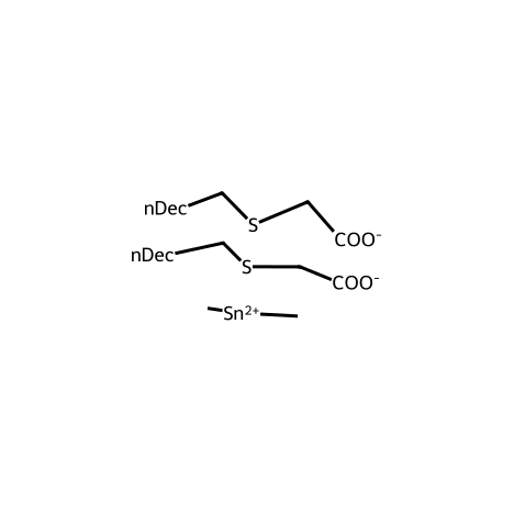 CCCCCCCCCCCSCC(=O)[O-].CCCCCCCCCCCSCC(=O)[O-].[CH3][Sn+2][CH3]